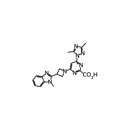 Cc1nc(C)n(-c2cc(N3CC(c4nc5ccccc5n4C)C3)nc(C(=O)O)n2)n1